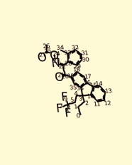 CCCC1(CCC(F)(F)F)c2ccccc2-c2ccc(C(=O)/C(=N/OC(C)=O)c3ccccc3C)cc21